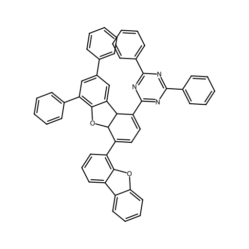 C1=C(c2cccc3c2oc2ccccc23)C2Oc3c(-c4ccccc4)cc(-c4ccccc4)cc3C2C(c2nc(-c3ccccc3)nc(-c3ccccc3)n2)=C1